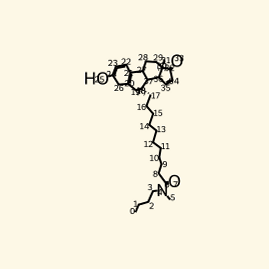 CCCCN(C)C(=O)CCCCCCCCCC[C@@H]1CC2=C(C=C=C(O)C2)C2CC[C@]3(C)C(=O)C=CC3C21